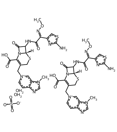 CON=C(C(=O)NC1C(=O)N2C(C(=O)O)=C(C[n+]3ccc4ncn(C)c4c3)CS[C@@H]12)c1csc(N)n1.CON=C(C(=O)NC1C(=O)N2C(C(=O)O)=C(C[n+]3ccc4ncn(C)c4c3)CS[C@@H]12)c1csc(N)n1.O.O.O=S(=O)([O-])[O-]